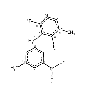 C[n+]1cccc(C(F)F)c1.Cc1c(F)cc[n+](C)c1F